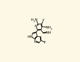 N=Cc1c(-c2c[nH]c3ncc(F)cc23)nc(N)c(F)c1N